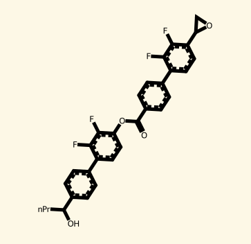 CCCC(O)c1ccc(-c2ccc(OC(=O)c3ccc(-c4ccc(C5CO5)c(F)c4F)cc3)c(F)c2F)cc1